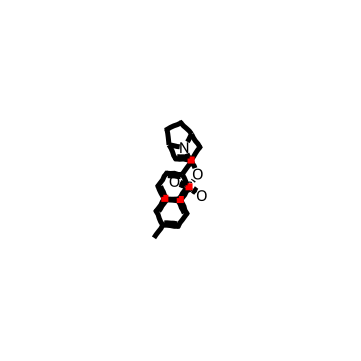 Cc1ccc(S(=O)(=O)OC2=CC3CCC(C2)N3Cc2ccccc2)cc1